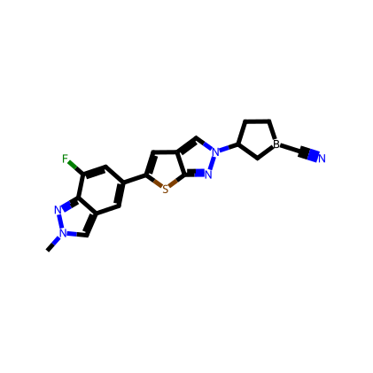 Cn1cc2cc(-c3cc4cn(C5CCB(C#N)C5)nc4s3)cc(F)c2n1